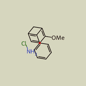 COc1ccc2c(-c3ccccc3)c1C2.NCl